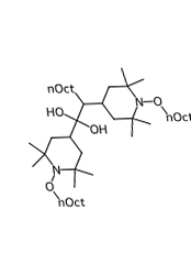 CCCCCCCCON1C(C)(C)CC(C(CCCCCCCC)C(O)(O)C2CC(C)(C)N(OCCCCCCCC)C(C)(C)C2)CC1(C)C